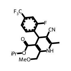 COCC1=C(C(=O)OC(C)C)C(c2ccc(C(F)(F)F)cc2F)C(C#N)=C(C)N1